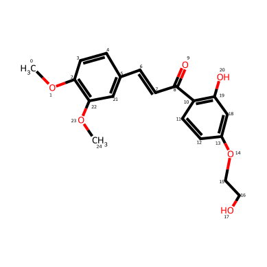 COc1ccc(C=CC(=O)c2ccc(OCCO)cc2O)cc1OC